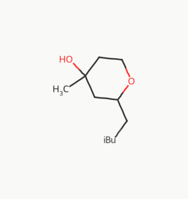 CCC(C)CC1CC(C)(O)CCO1